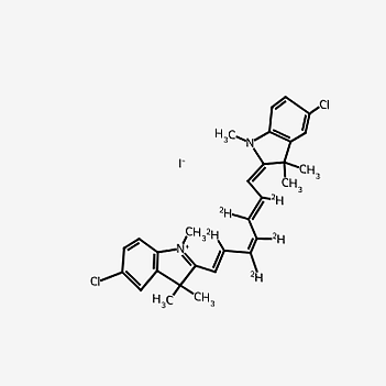 [2H]C(=CC1=[N+](C)c2ccc(Cl)cc2C1(C)C)C([2H])=C([2H])C([2H])=C([2H])C=C1N(C)c2ccc(Cl)cc2C1(C)C.[I-]